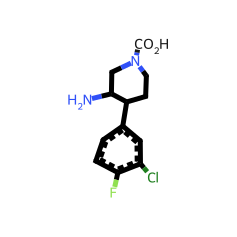 NC1CN(C(=O)O)CCC1c1ccc(F)c(Cl)c1